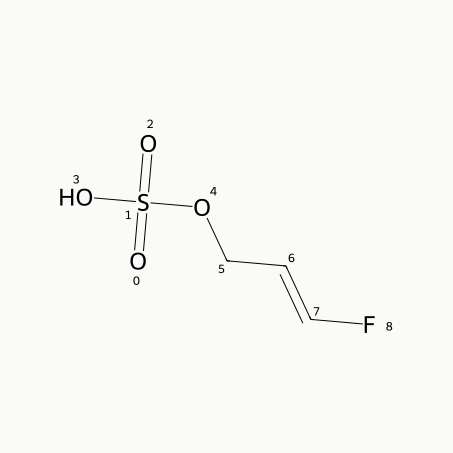 O=S(=O)(O)OCC=CF